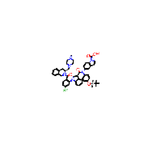 CN1CCN(C[C@@H]2Cc3ccccc3CN2C(=O)c2ccc(Br)cc2-n2cc(C(=O)N(c3ccc(O[Si](C)(C)C(C)(C)C)cc3)c3ccc4c(ccn4C(=O)O)c3)c3ccccc32)CC1